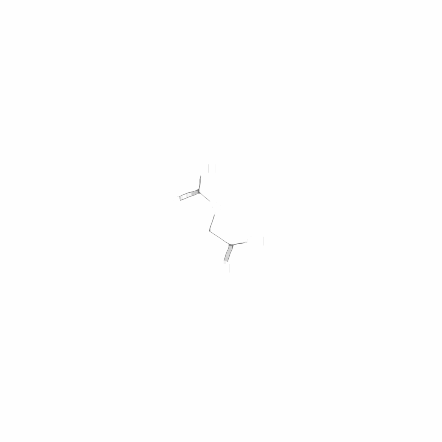 C=C(C)COC(C)=S